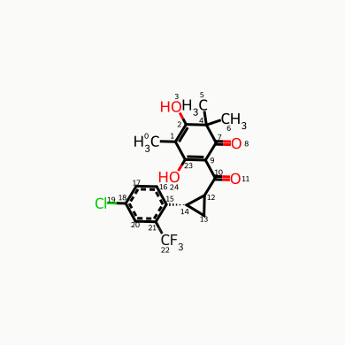 CC1=C(O)C(C)(C)C(=O)C(C(=O)C2C[C@@H]2c2ccc(Cl)cc2C(F)(F)F)=C1O